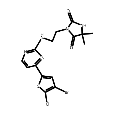 CC1(C)NC(=O)N(CCNc2nccc(-c3cc(Br)c(Cl)s3)n2)C1=O